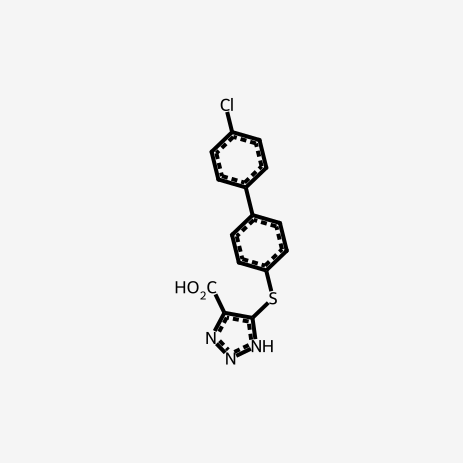 O=C(O)c1nn[nH]c1Sc1ccc(-c2ccc(Cl)cc2)cc1